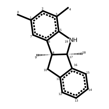 Cc1cc(C)c2c(c1)[C@]1(C)Cc3ccccc3[C@]1(C)N2